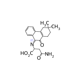 CC1(C)CCC2=C(C1)c1ccccc1/C(=N/C(CC(N)=O)C(=O)O)C2=O